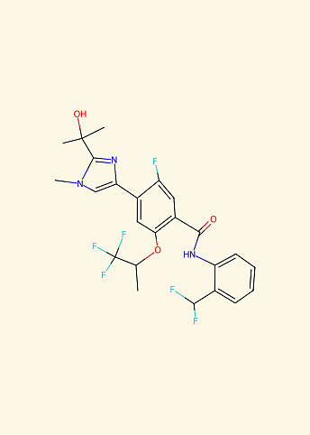 CC(Oc1cc(-c2cn(C)c(C(C)(C)O)n2)c(F)cc1C(=O)Nc1ccccc1C(F)F)C(F)(F)F